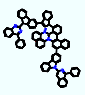 C1=CC2c3cc(C4=CC(c5cccc6c5B(Nc5ccccc5)N(c5ccccc5)c5cc(-c7ccc8c(c7)c7ccccc7n8-c7cc8ccccc8c(-c8ccccc8)n7)c7ccccc7c5-6)c5ccccc54)ccc3C(c3nc(-c4ccccc4)c4ccccc4n3)C2C=C1